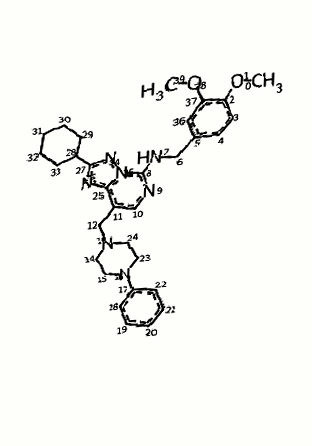 COc1ccc(CNc2ncc(CN3CCN(c4ccccc4)CC3)c3nc(C4CCCCC4)nn23)cc1OC